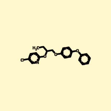 CCC(COc1ccc(Oc2ccccc2)cc1)Oc1ccc(Cl)cn1